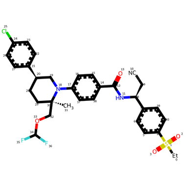 CCS(=O)(=O)c1ccc([C@H](CC#N)NC(=O)c2ccc(N3C[C@H](c4ccc(Cl)cc4)CC[C@]3(C)COC(F)F)cc2)cc1